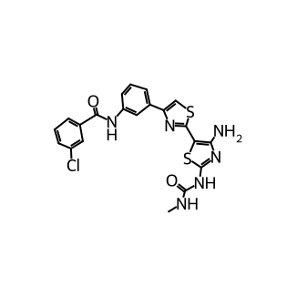 CNC(=O)Nc1nc(N)c(-c2nc(-c3cccc(NC(=O)c4cccc(Cl)c4)c3)cs2)s1